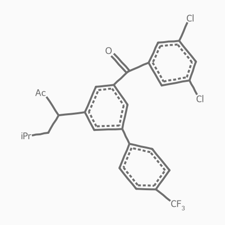 CC(=O)C(CC(C)C)c1cc(C(=O)c2cc(Cl)cc(Cl)c2)cc(-c2ccc(C(F)(F)F)cc2)c1